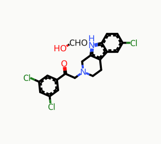 O=C(CN1CCc2c([nH]c3ccc(Cl)cc23)C1)c1cc(Cl)cc(Cl)c1.O=CO